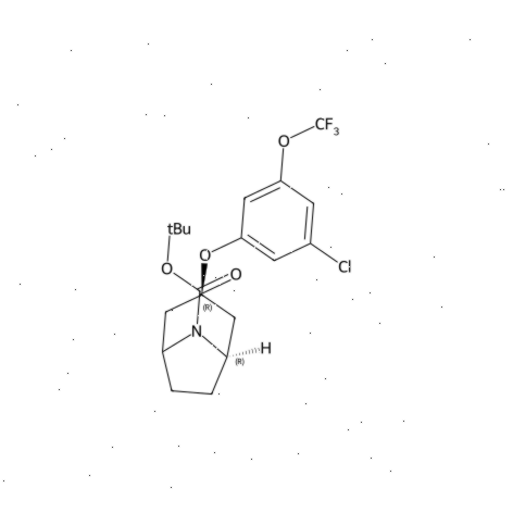 CC(C)(C)OC(=O)N1C2CC[C@@H]1C[C@H](Oc1cc(Cl)cc(OC(F)(F)F)c1)C2